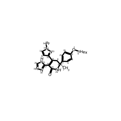 CCCCCCOc1ccc([C@]2(C)CC(c3ccn(C(C)C)n3)=C(c3nnc[nH]3)C(=O)N2)cc1